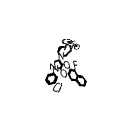 CS(=O)(=O)N1CCN(c2cnn(-c3cccc(Cl)c3)c(=O)c2OC2CCc3ccccc3C2F)CC1